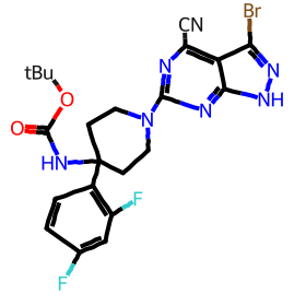 CC(C)(C)OC(=O)NC1(c2ccc(F)cc2F)CCN(c2nc(C#N)c3c(Br)n[nH]c3n2)CC1